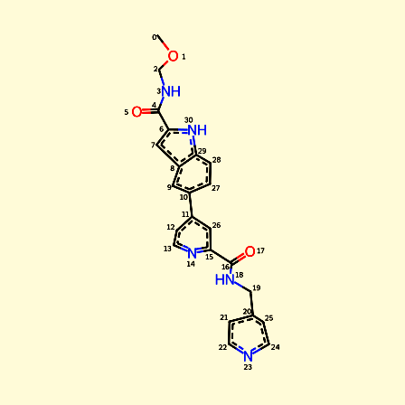 COCNC(=O)c1cc2cc(-c3ccnc(C(=O)NCc4ccncc4)c3)ccc2[nH]1